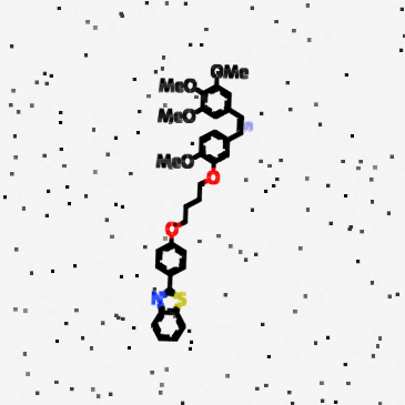 COc1ccc(/C=C\c2cc(OC)c(OC)c(OC)c2)cc1OCCCCOc1ccc(-c2nc3ccccc3s2)cc1